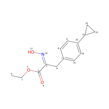 CCOC(=O)C(Cc1ccc(C2CC2)cc1)=NO